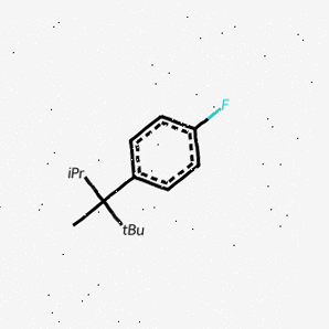 CC(C)C(C)(c1ccc(F)cc1)C(C)(C)C